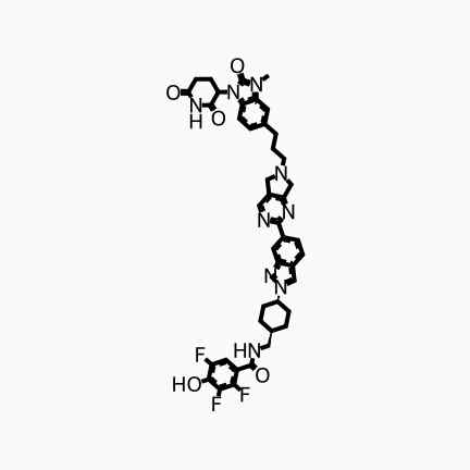 Cn1c(=O)n(C2CCC(=O)NC2=O)c2ccc(CCCN3Cc4cnc(-c5ccc6cn([C@H]7CC[C@H](CNC(=O)c8cc(F)c(O)c(F)c8F)CC7)nc6c5)nc4C3)cc21